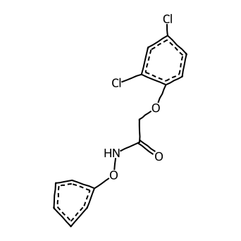 O=C(COc1ccc(Cl)cc1Cl)NOc1ccccc1